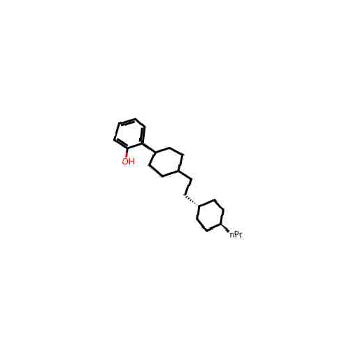 CCC[C@H]1CC[C@H](CCC2CCC(c3ccccc3O)CC2)CC1